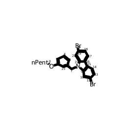 CCCCCOc1cccc(Cn2c3cc(Br)ccc3c3ccc(Br)cc32)c1